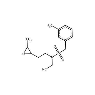 CC1OC1CCN(CC#N)S(=O)(=O)Cc1cccc(C(F)(F)F)c1